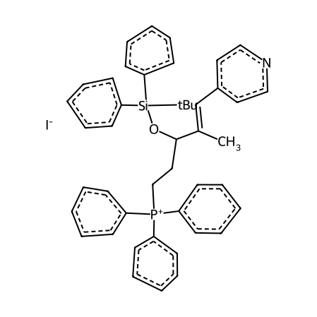 CC(=Cc1ccncc1)C(CC[P+](c1ccccc1)(c1ccccc1)c1ccccc1)O[Si](c1ccccc1)(c1ccccc1)C(C)(C)C.[I-]